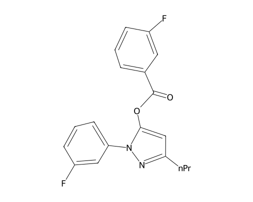 CCCc1cc(OC(=O)c2cccc(F)c2)n(-c2cccc(F)c2)n1